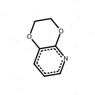 [CH]1COc2ncccc2O1